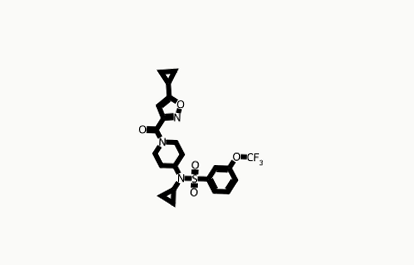 O=C(c1cc(C2CC2)on1)N1CCC(N(C2CC2)S(=O)(=O)c2cccc(OC(F)(F)F)c2)CC1